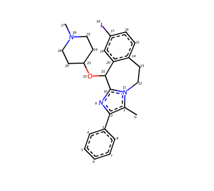 Cc1c(-c2ccccc2)nc2n1CCc1ccc(I)cc1C2OC1CCN(C)CC1